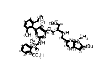 Cc1cccc(CC(C)C)c1-c1nc(NS(=O)(=O)c2ccccc2C(=O)O)nc(OC[C@@H](CC(C)(C)C)NCc2cnc3cc(C(C)(C)C)n(C)c3n2)c1C